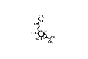 CCNC(=O)OC[C@H]1O[C@@H]2SC(N(C)C)=N[C@@H]2[C@@H](O)[C@@H]1O